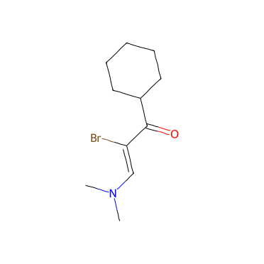 CN(C)C=C(Br)C(=O)C1CCCCC1